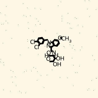 COc1ccc2c(C3=N[C@@H]4C(O)[C@H](O)CO[C@@H]4O3)nn(Cc3ccc(Cl)c(Cl)c3)c2c1